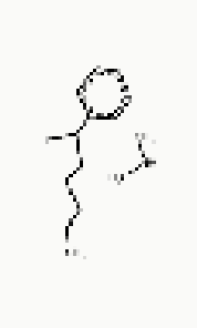 CNC.[Li][CH](CCCCC)c1ccccc1